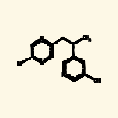 CCc1cnc(CC(C)c2cncc(O)c2)cn1